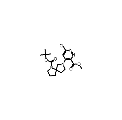 COC(=O)c1nnc(Cl)cc1N1CCC2(CCCN2C(=O)OC(C)(C)C)C1